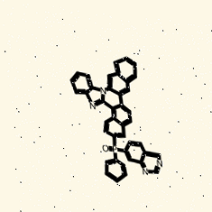 O=P(c1ccccc1)(c1ccc2c(ccc3c4cc5ccccc5cc4n4c5ccccc5nc4c23)c1)c1ccc2cncnc2c1